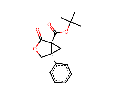 CC(C)(C)OC(=O)[C@@]12C[C@@]1(c1ccccc1)COC2=O